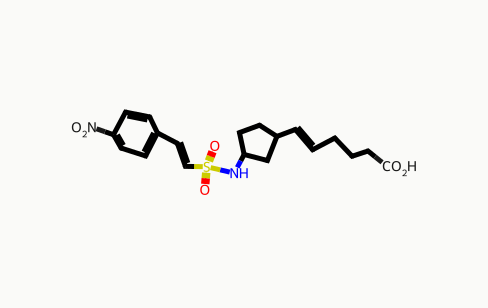 O=C(O)CCCC=CC1CCC(NS(=O)(=O)C=Cc2ccc([N+](=O)[O-])cc2)C1